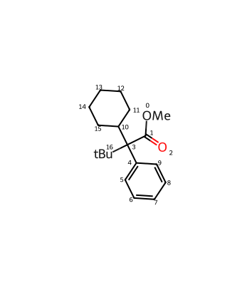 COC(=O)C(c1ccccc1)(C1CCCCC1)C(C)(C)C